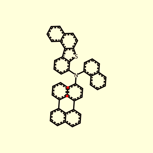 c1ccc(-c2cccc3cccc(-c4ccc(N(c5cccc6ccccc56)c5cccc6c5sc5ccc7ccccc7c56)cc4)c23)cc1